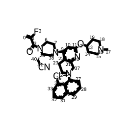 C=C(F)C(=O)N1CCN(c2cc(OC3CCN(C)CC3)nc3c2CCN(c2cccc4cccc(Cl)c24)C3)C[C@@H]1CC#N